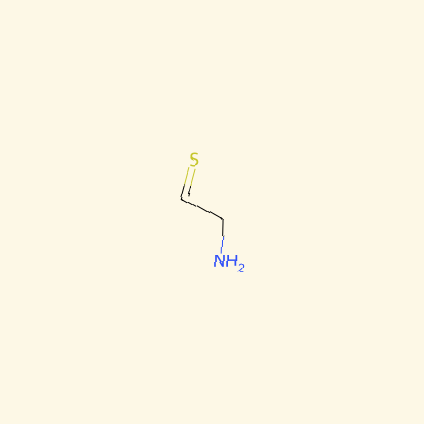 NCC=S